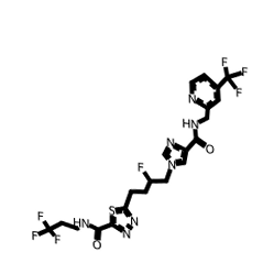 O=C(NCc1cc(C(F)(F)F)ccn1)c1cn(CC(F)CCc2nnc(C(=O)NCCC(F)(F)F)s2)cn1